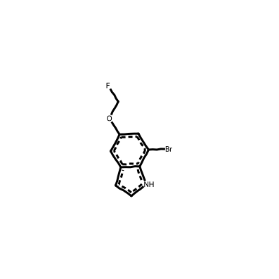 FCOc1cc(Br)c2[nH]ccc2c1